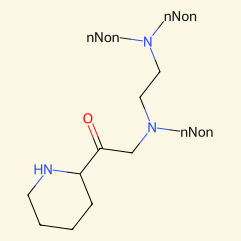 CCCCCCCCCN(CCCCCCCCC)CCN(CCCCCCCCC)CC(=O)C1CCCCN1